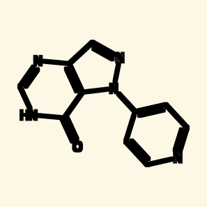 O=c1[nH]cnc2cnn(-c3ccncc3)c12